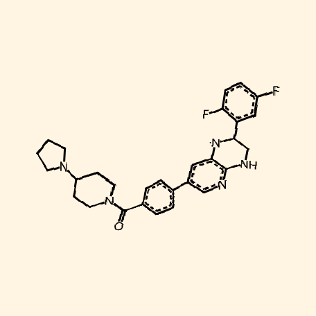 O=C(c1ccc(-c2cnc3c(c2)[N]C(c2cc(F)ccc2F)CN3)cc1)N1CCC(N2CCCC2)CC1